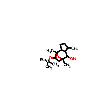 CC1CCC2C1C(O)C1(C)CC(O[Si](C)(C)C(C)(C)C)C2(C)O1